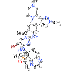 COc1cc(N2CCN(C(C)C)CC2)c(-c2cnn(C)c2)cc1Nc1ncc(Br)c(Nc2ccc3nccnc3c2P(C)(C)=O)n1